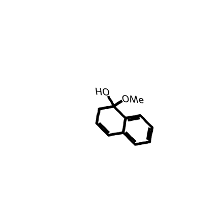 COC1(O)CC=Cc2ccccc21